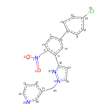 O=[N+]([O-])c1ccc(-c2ccc(Cl)cc2)cc1-c1ccn(Cc2cccnc2)n1